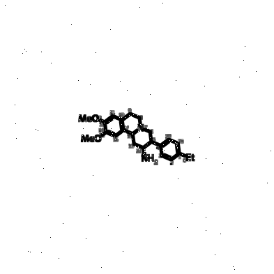 CCc1ccc(C2CN3CCc4cc(OC)c(OC)cc4C3CC2N)cc1